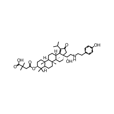 CC(C)C1=C2[C@H]3CC[C@@H]4[C@@]5(C)CC[C@H](OC(=O)CC(C)(C)C(=O)O)C(C)(C)[C@@H]5CC[C@@]4(C)[C@]3(C)CC[C@@]2([C@@H](O)CNCCc2ccc(O)cc2)CC1=O